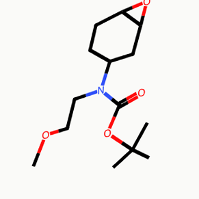 COCCN(C(=O)OC(C)(C)C)C1CCC2OC2C1